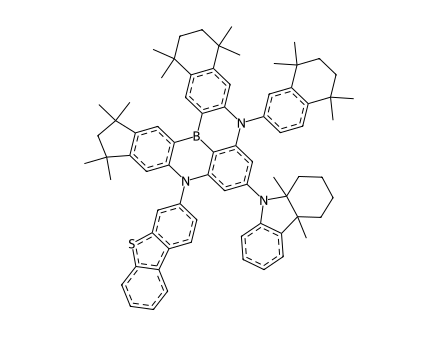 CC1(C)CCC(C)(C)c2cc(N3c4cc5c(cc4B4c6cc7c(cc6N(c6ccc8c(c6)sc6ccccc68)c6cc(N8c9ccccc9C9(C)CCCCC89C)cc3c64)C(C)(C)CC7(C)C)C(C)(C)CCC5(C)C)ccc21